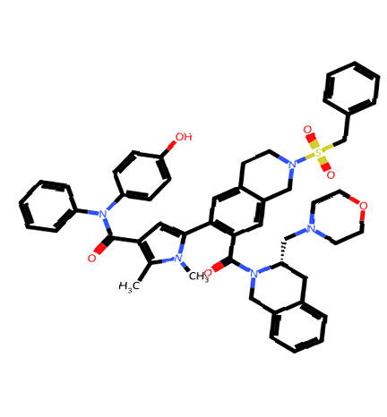 Cc1c(C(=O)N(c2ccccc2)c2ccc(O)cc2)cc(-c2cc3c(cc2C(=O)N2Cc4ccccc4C[C@H]2CN2CCOCC2)CN(S(=O)(=O)Cc2ccccc2)CC3)n1C